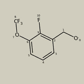 [O]Cc1cccc(OC(F)(F)F)c1F